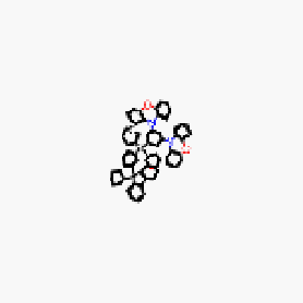 c1ccc(C2(c3cccc([Si](c4ccccc4)(c4ccccc4)c4cc(N5c6ccccc6Oc6ccccc65)cc(N5c6ccccc6Oc6ccccc65)c4)c3)c3ccccc3-c3ccccc32)cc1